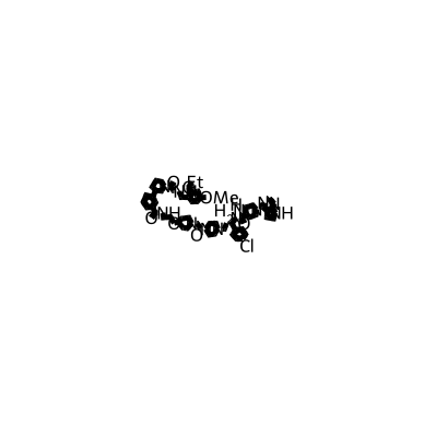 CCOc1cc(OC)ccc1CNCC(=O)N1CCCC(c2cccc(C(=O)NCCOC3CCN(CC(=O)N4CCN(CC[C@H](NC(=O)C5(N)CCN(c6ncnc7[nH]ccc67)CC5)c5ccc(Cl)cc5)CC4)CC3)c2)C1